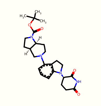 CC(C)(C)OC(=O)N1CC[C@@H]2CN(c3cccc4c3CCN4[C@@H]3CCC(=O)NC3=O)CC[C@@H]21